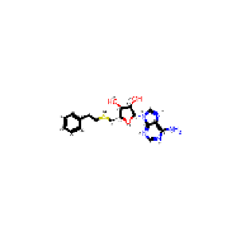 Nc1ncnc2c1ncn2[C@@H]1O[C@H](CSCCc2ccccc2)[C@@H](O)[C@H]1O